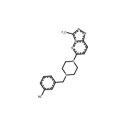 N#Cc1cccc(CN2CCN(c3ccc4nnc(C(F)(F)F)n4n3)CC2)c1